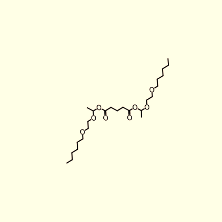 CCCCCCOCCOC(C)OC(=O)CCCC(=O)OC(C)OCCOCCCCCC